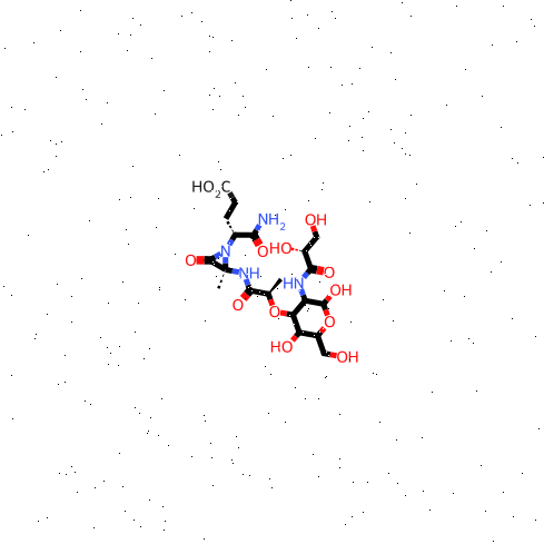 C[C@@H](OC1C(O)C(CO)OC(O)C1NC(=O)[C@H](O)CO)C(=O)N[C@@]1(C)C(=O)N1[C@H](CCC(=O)O)C(N)=O